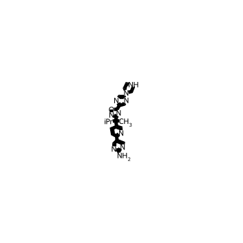 CC(C)C(C)(c1ccc(-c2cnc(N)nc2)nc1)c1noc(-c2cnc(N3CCNCC3)cn2)n1